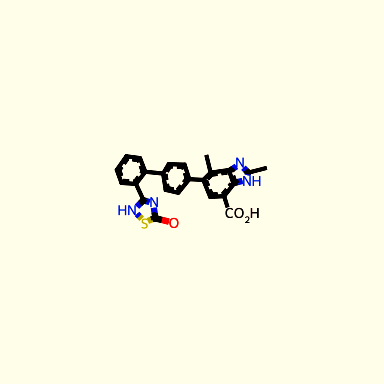 Cc1nc2c(C)c(-c3ccc(-c4ccccc4-c4nc(=O)s[nH]4)cc3)cc(C(=O)O)c2[nH]1